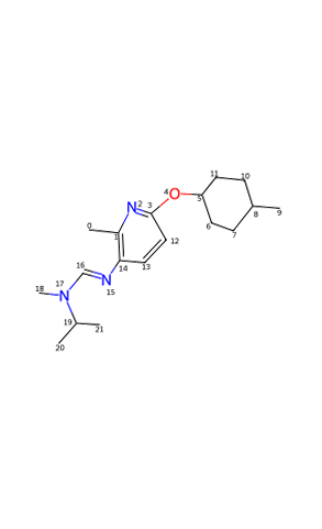 Cc1nc(OC2CCC(C)CC2)ccc1/N=C/N(C)C(C)C